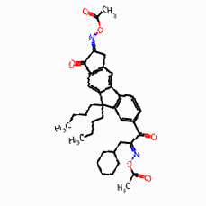 CCCCC1(CCCC)c2cc(C(=O)/C(CC3CCCCC3)=N/OC(C)=O)ccc2-c2cc3c(cc21)C(=O)/C(=N/OC(C)=O)C3